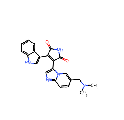 CN(C)Cc1ccc2ncc(C3=C(c4c[nH]c5ccccc45)C(=O)NC3=O)n2c1